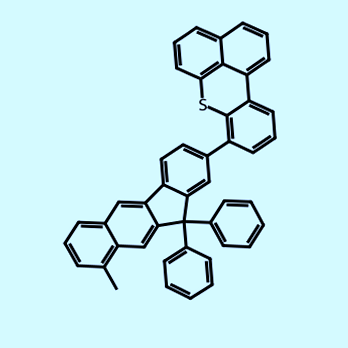 Cc1cccc2cc3c(cc12)C(c1ccccc1)(c1ccccc1)c1cc(-c2cccc4c2Sc2cccc5cccc-4c25)ccc1-3